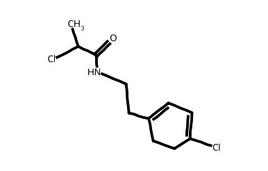 CC(Cl)C(=O)NCCC1=CC=C(Cl)CC1